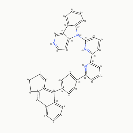 C1=Cc2c(cc3ccccc3c2-c2ccc(-c3cccc(-c4cccc(-n5c6ccccc6c6cnccc65)n4)n3)cc2)CC1